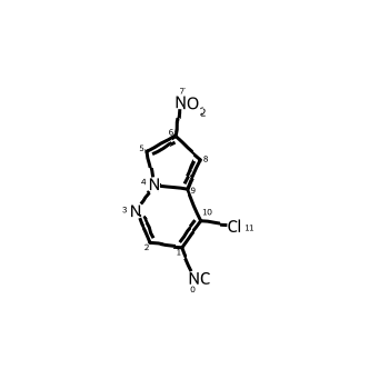 [C-]#[N+]c1cnn2cc([N+](=O)[O-])cc2c1Cl